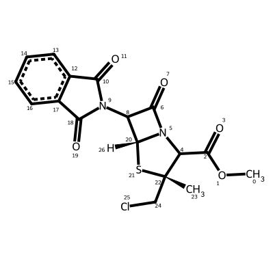 COC(=O)C1N2C(=O)C(N3C(=O)c4ccccc4C3=O)[C@H]2S[C@@]1(C)CCl